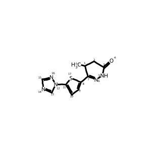 CC1CC(=O)NN=C1c1ccc(-n2cncn2)s1